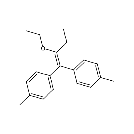 CCOC(CC)=C(c1ccc(C)cc1)c1ccc(C)cc1